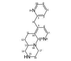 c1ccc(Cc2ccnc3c2CCC2CNCCN32)nc1